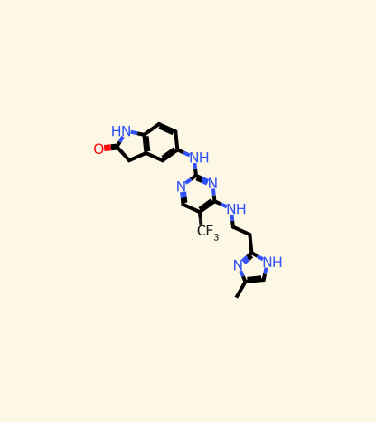 Cc1c[nH]c(CCNc2nc(Nc3ccc4c(c3)CC(=O)N4)ncc2C(F)(F)F)n1